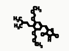 COCOc1cc(C=C2SC(=O)NC2=O)cc(OCOC)c1CC=C(C)C